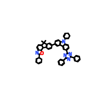 CC1(C)C2=CC=C3N=C(C4C=CC=CC4)OC3C2c2ccc(-c3ccc4c(c3)c3cc(-c5nc(-c6ccccc6)nc(-c6ccccc6)n5)ccc3n4C3=CCCC=C3)cc21